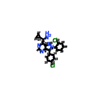 NC(c1ncnc2c(-c3ccc(Cl)cc3)n(-c3ccccc3Cl)nc12)C1CC1